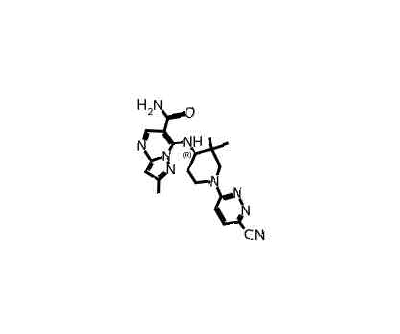 Cc1cc2ncc(C(N)=O)c(N[C@@H]3CCN(c4ccc(C#N)nn4)CC3(C)C)n2n1